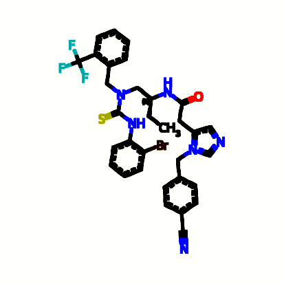 CC[C@@H](CN(Cc1ccccc1C(F)(F)F)C(=S)Nc1ccccc1Br)NC(=O)Cc1cncn1Cc1ccc(C#N)cc1